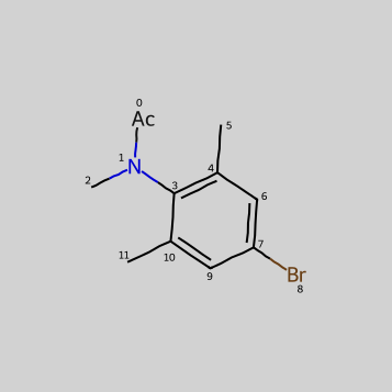 CC(=O)N(C)c1c(C)cc(Br)cc1C